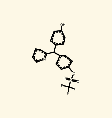 O=S(=O)(Oc1ccc(C(c2ccc(O)cc2)c2ccccn2)cc1)C(F)(F)F